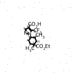 CCOC(=O)[C@]1(C)CC[C@@H](n2ncc(C(=O)O)c2C(F)(F)F)[C@H](C)C1